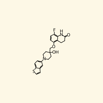 O=C1CCc2c(OCC3(O)CCN(c4ccc5sccc5c4)CC3)ccc(F)c2N1